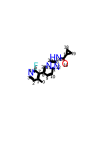 Cc1ccnc(F)c1-c1ccc2nc(NC(=O)C3CC3)cn2c1